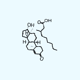 CCCCCCC(C)CC(=O)O.C[C@]12CC[C@H]3[C@@H](CCC4=CC(=O)CC[C@@]43C)[C@@H]1CC[C@@H]2O